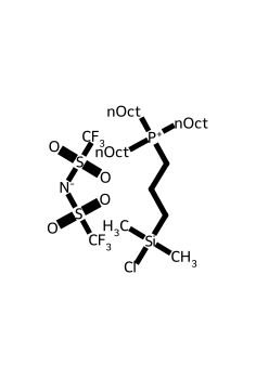 CCCCCCCC[P+](CCCCCCCC)(CCCCCCCC)CCC[Si](C)(C)Cl.O=S(=O)([N-]S(=O)(=O)C(F)(F)F)C(F)(F)F